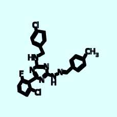 Cc1ccc(C=NNc2nc(NCc3ccc(Cl)cc3)nc(-c3c(F)cccc3Cl)n2)cc1